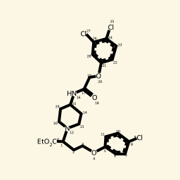 CCOC(=O)C(CCOc1ccc(Cl)cc1)N1CCC(NC(=O)COc2ccc(Cl)c(Cl)c2)CC1